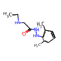 CCNCC(=O)NNc1c(C)cccc1C